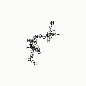 Cc1ncsc1-c1ccc(CNC(=O)[C@@H]2C[C@@H](O)CN2C(=O)[C@@H](NC(=O)CCOCCOCCN2CCN(CCNc3ccc(S(=O)(=O)NC(=O)c4ccc(N5CCN(CC6=C(c7ccc(Cl)cc7)CC(C)(C)CC6)CC5)cc4-n4c5cc6cc[nH]c6nc5c(=O)n4C)cc3[N+](=O)[O-])CC2)C(C)(C)C)cc1